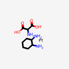 NC(C(=O)O)C(=O)O.NC1CCCCC1N.[Pt]